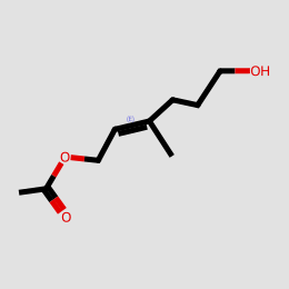 CC(=O)OC/C=C(\C)CCCO